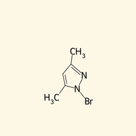 Cc1cc(C)n(Br)n1